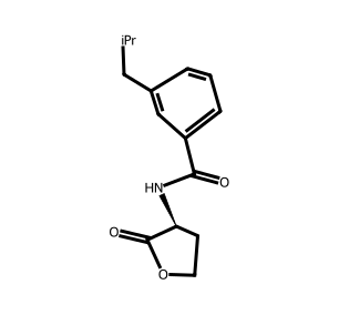 CC(C)Cc1cccc(C(=O)N[C@H]2CCOC2=O)c1